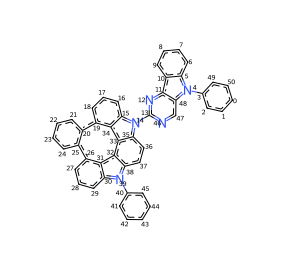 c1ccc(-n2c3ccccc3c3nc(-n4c5cccc6c7ccccc7c7cccc8c7c7c(c65)c4ccc7n8-c4ccccc4)ncc32)cc1